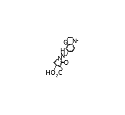 Cc1ccn(NCc2ccc3c(c2)OCCN3C)c(=O)c1CC(=O)O